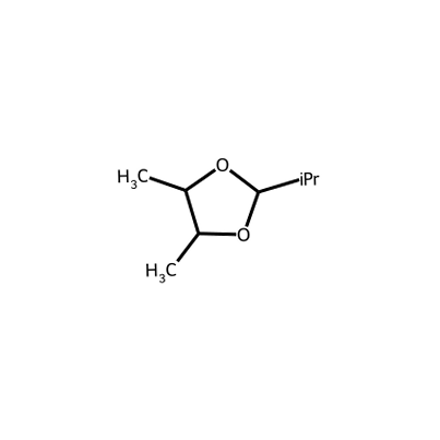 CC(C)C1OC(C)C(C)O1